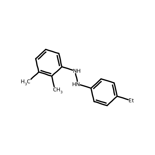 CCc1ccc(NNc2cccc(C)c2C)cc1